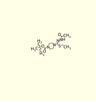 CCS/C(=N\NC(C)=O)N1CCN(C(=O)OC(C)(C)C)CC1